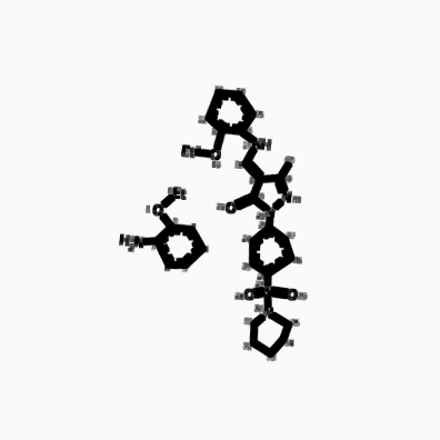 CCOc1ccccc1N.CCOc1ccccc1N/C=C1/C(=O)N(c2ccc(S(=O)(=O)N3CCCCC3)cc2)N=C1C